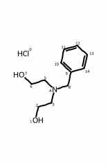 Cl.OCCN(CCO)Cc1ccccc1